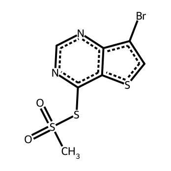 CS(=O)(=O)Sc1ncnc2c(Br)csc12